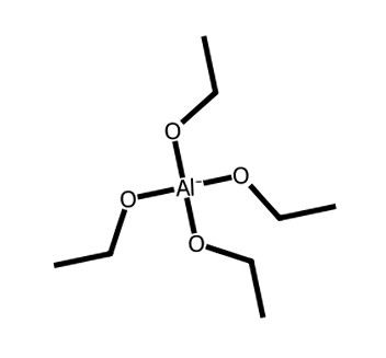 CC[O][Al-]([O]CC)([O]CC)[O]CC